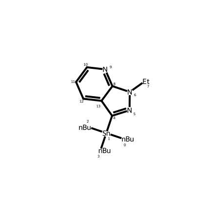 CCC[CH2][Sn]([CH2]CCC)([CH2]CCC)[c]1nn(CC)c2ncccc12